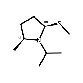 CS[C@@H]1CC[C@H](C)N1C(C)C